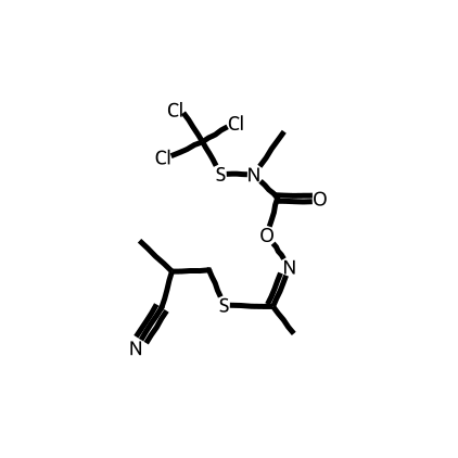 CC(=NOC(=O)N(C)SC(Cl)(Cl)Cl)SCC(C)C#N